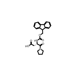 O=C(O)C[C@H](NC(=O)OCC1c2ccccc2-c2ccccc21)C(=O)N1CCCC1